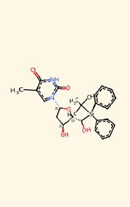 Cc1cn([C@H]2C[C@H](O)[C@@H](C(O)[Si](c3ccccc3)(c3ccccc3)C(C)(C)C)O2)c(=O)[nH]c1=O